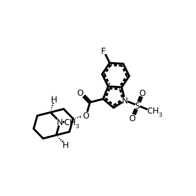 CN1[C@@H]2CCC[C@H]1C[C@H](OC(=O)c1cn(S(C)(=O)=O)c3ccc(F)cc13)C2